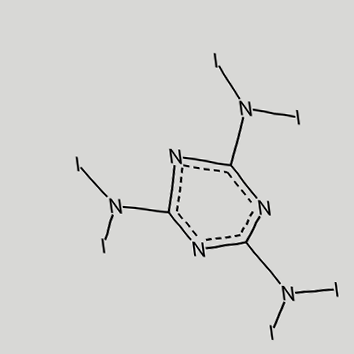 IN(I)c1nc(N(I)I)nc(N(I)I)n1